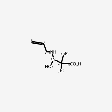 C=CCNN(O)C(CC)(CCC)C(=O)O